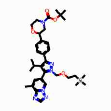 Cc1cc(-c2c(C(C)C)c(-c3ccc(C4CN(C(=O)OC(C)(C)C)CCO4)cc3)nn2COCC[Si](C)(C)C)cn2ncnc12